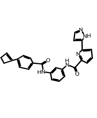 O=C(Nc1cccc(NC(=O)c2cccc(-c3ccn[nH]3)n2)c1)c1ccc(C2=CCC2)cc1